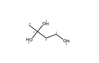 CC(O)(O)CCO